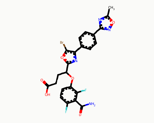 Cc1nc(-c2ccc(-c3nc(C(CCC(=O)O)Oc4ccc(F)c(C(N)=O)c4F)oc3Br)cc2)no1